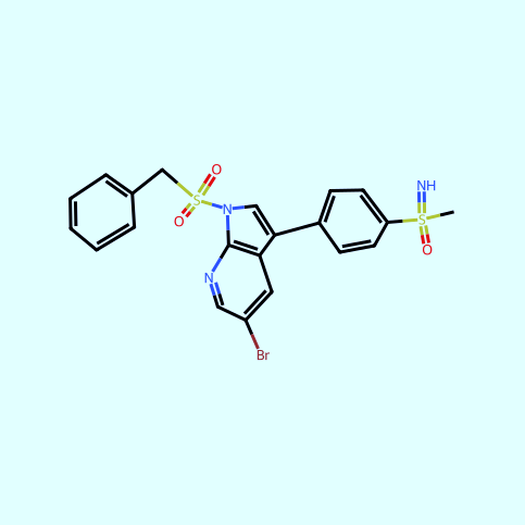 CS(=N)(=O)c1ccc(-c2cn(S(=O)(=O)Cc3ccccc3)c3ncc(Br)cc23)cc1